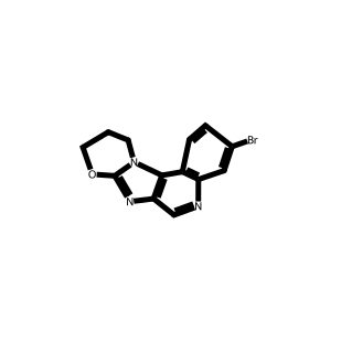 Brc1ccc2c(c1)ncc1nc3n(c12)CCCO3